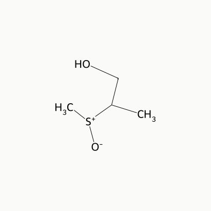 CC(CO)[S+](C)[O-]